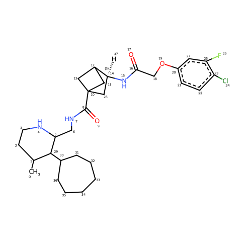 CC1CCNC(CNC(=O)C23CC(C2)[C@@H](NC(=O)COc2ccc(Cl)c(F)c2)C3)C1C1CCCCCC1